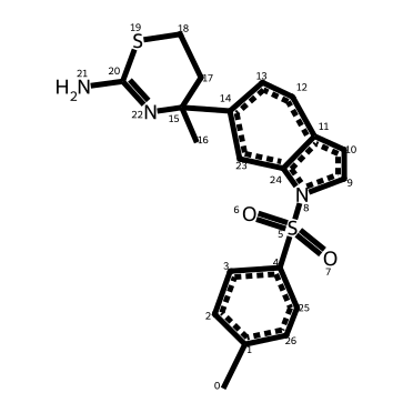 Cc1ccc(S(=O)(=O)n2ccc3ccc(C4(C)CCSC(N)=N4)cc32)cc1